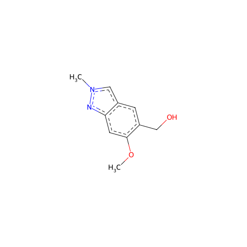 COc1cc2nn(C)cc2cc1CO